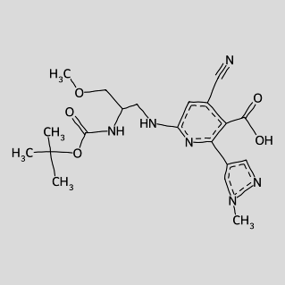 COCC(CNc1cc(C#N)c(C(=O)O)c(-c2cnn(C)c2)n1)NC(=O)OC(C)(C)C